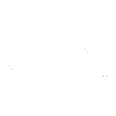 COCCN(C)CCOc1ccc(C=N)c(F)c1F